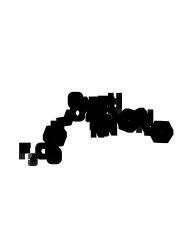 CCc1c(NC(=O)OCCCN2CCN(C(=O)C(F)(F)F)CC2)cn2ncnc(Nc3ccc4c(cnn4Cc4ccccc4)c3)c12